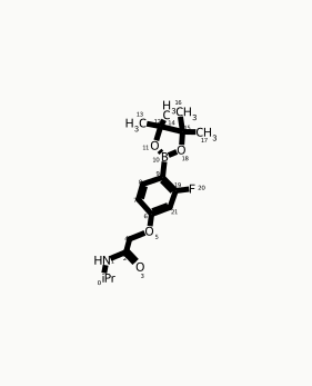 CC(C)NC(=O)COc1ccc(B2OC(C)(C)C(C)(C)O2)c(F)c1